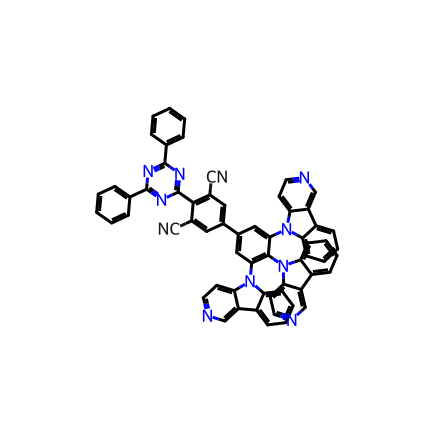 N#Cc1cc(-c2cc(-n3c4ccccc4c4cnccc43)c(-n3c4ccccc4c4cnccc43)c(-n3c4ccccc4c4cnccc43)c2)cc(C#N)c1-c1nc(-c2ccccc2)nc(-c2ccccc2)n1